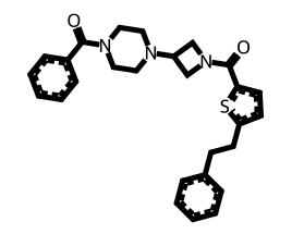 O=C(c1ccccc1)N1CCN(C2CN(C(=O)c3ccc(CCc4ccccc4)s3)C2)CC1